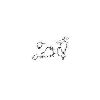 CCn1cc2c3c(cc(C(=O)N[C@@H](Cc4ccccc4)[C@H](O)CNC4CC=CC4)cc31)N(C)S(=O)(=O)CC2